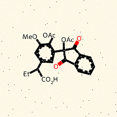 CCC(C(=O)O)c1cc(OC)c(OC(C)=O)c(C2(OC(C)=O)C(=O)c3ccccc3C2=O)c1